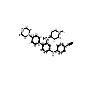 C#Cc1cnc(Nc2cc(NC3CCN(C)CC3)c(-c3ccc(N4CCOCC4)cc3)cn2)cn1